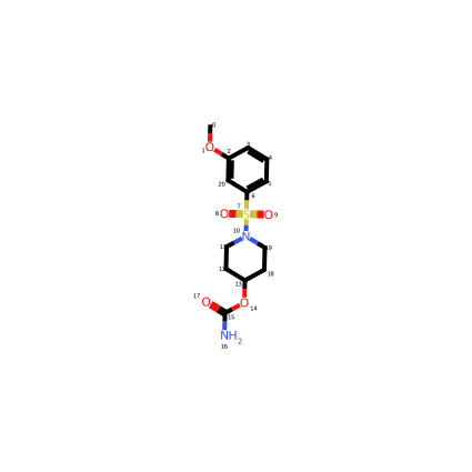 COc1cccc(S(=O)(=O)N2CCC(OC(N)=O)CC2)c1